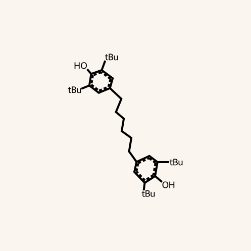 CC(C)(C)c1cc(CCCCCCc2cc(C(C)(C)C)c(O)c(C(C)(C)C)c2)cc(C(C)(C)C)c1O